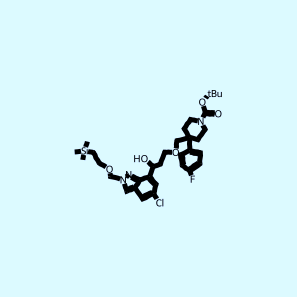 CC(C)(C)OC(=O)N1CCC(COCCC(O)c2cc(Cl)cc3cn(COCC[Si](C)(C)C)nc23)(c2ccc(F)cc2)CC1